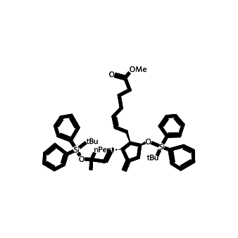 C=C1C[C@H](O[Si](c2ccccc2)(c2ccccc2)C(C)(C)C)[C@H](C/C=C\CCCC(=O)OC)[C@H]1/C=C/C(C)(CCCCC)O[Si](c1ccccc1)(c1ccccc1)C(C)(C)C